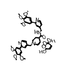 COc1cc(-c2cc(CNC(=O)C3CCN(Cc4ccnc(-c5cc(OC)c(OC)c(OC)c5)c4)CC3)ccn2)cc(OC)c1OC.O=C(O)/C=C\C(=O)O